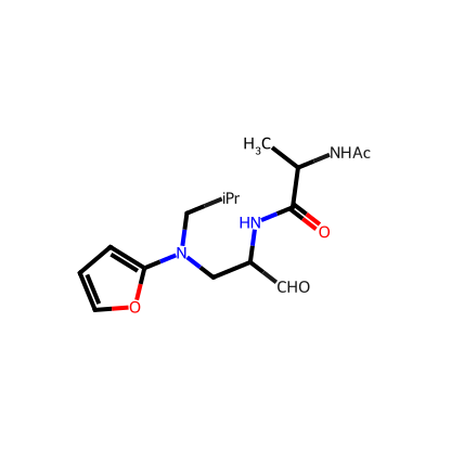 CC(=O)NC(C)C(=O)NC(C=O)CN(CC(C)C)c1ccco1